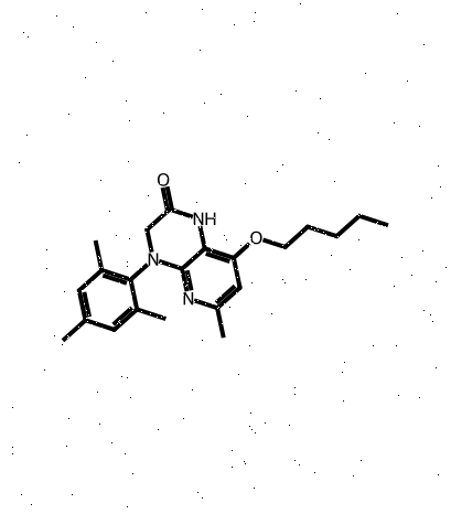 CCCCCOc1cc(C)nc2c1NC(=O)CN2c1c(C)cc(C)cc1C